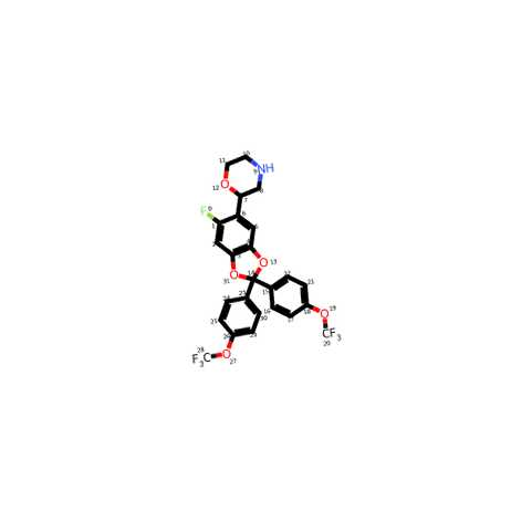 Fc1cc2c(cc1C1CNCCO1)OC(c1ccc(OC(F)(F)F)cc1)(c1ccc(OC(F)(F)F)cc1)O2